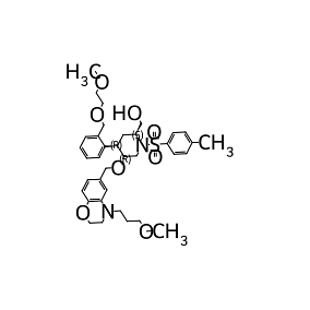 COCCCN1CCOc2ccc(CO[C@H]3CN(S(=O)(=O)c4ccc(C)cc4)[C@H](CO)C[C@@H]3c3ccccc3COCCOC)cc21